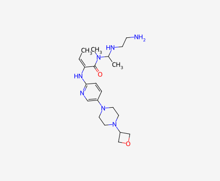 C/C=C(/Nc1ccc(N2CCN(C3COC3)CC2)cn1)C(=O)N(C)C(C)NCCN